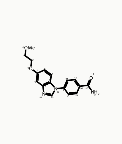 COCCOc1ccc2c(c1)ncn2-c1ccc(C(N)=O)cc1